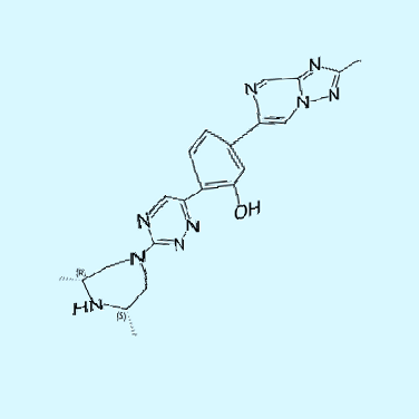 Cc1nc2cnc(-c3ccc(-c4cnc(N5C[C@@H](C)N[C@@H](C)C5)nn4)c(O)c3)cn2n1